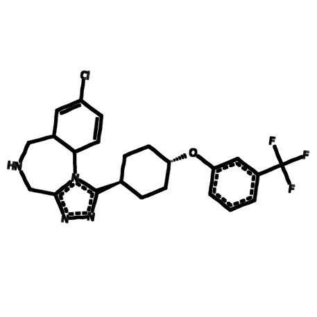 FC(F)(F)c1cccc(O[C@H]2CC[C@H](c3nnc4n3C3C=CC(Cl)=CC3CNC4)CC2)c1